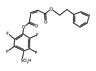 O=C(/C=C\C(=O)Oc1c(F)c(F)c(S(=O)(=O)O)c(F)c1F)OCCc1ccccc1